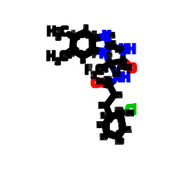 Cc1cc2nc3n(c2cc1C)C(NC(=O)CCc1ccccc1Cl)(C(F)(F)F)C(=O)N3